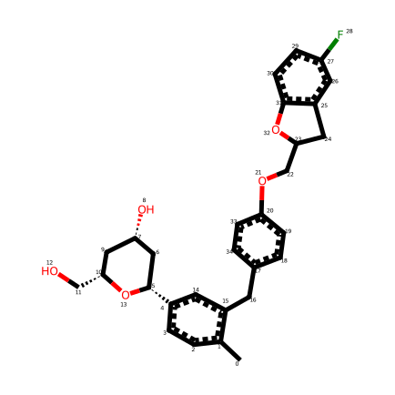 Cc1ccc([C@H]2C[C@@H](O)C[C@@H](CO)O2)cc1Cc1ccc(OCC2Cc3cc(F)ccc3O2)cc1